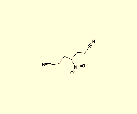 N#CCCC(CCC#N)[N+](=O)[O-]